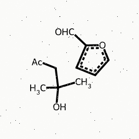 CC(=O)CC(C)(C)O.O=Cc1ccco1